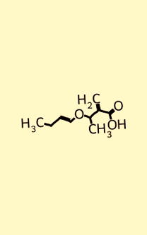 C=C(C(=O)O)C(C)OC=CCC